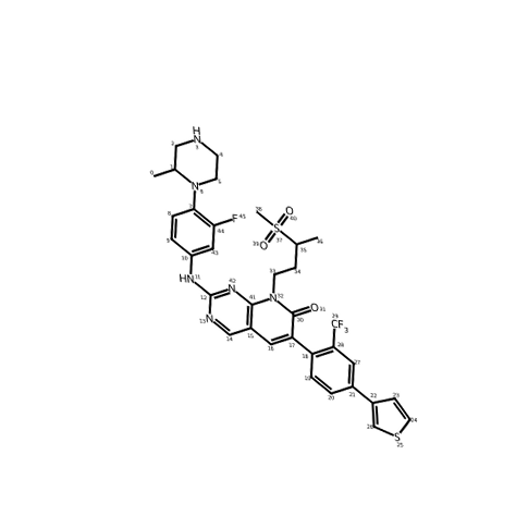 CC1CNCCN1c1ccc(Nc2ncc3cc(-c4ccc(-c5ccsc5)cc4C(F)(F)F)c(=O)n(CCC(C)S(C)(=O)=O)c3n2)cc1F